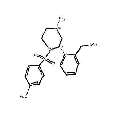 COCc1ccccc1[C@H]1C[C@@H](C(F)(F)F)CCN1S(=O)(=O)c1ccc(C)cc1